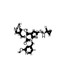 COc1cc(Cn2c(=O)n(Cc3cnn(C)c3)c(=O)c3cc(SNC4(C)CC4)sc32)ccn1